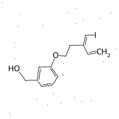 C=C/C(=C\I)CCOc1cccc(CO)c1